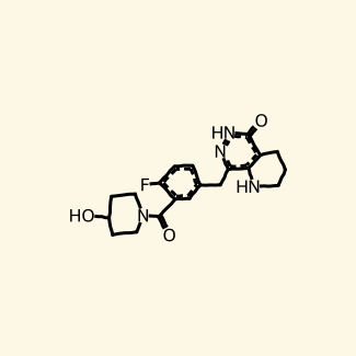 O=C(c1cc(Cc2n[nH]c(=O)c3c2NCCC3)ccc1F)N1CCC(O)CC1